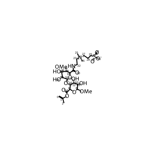 C=C(C)OC(=O)C1OC(OC)[C@H](O)[C@@H](O)[C@@H]1OC1OC(C(=O)NCC[N+](C)(C)CCCS(=O)(=O)[O-])[C@@H](OC)[C@H](O)[C@H]1O